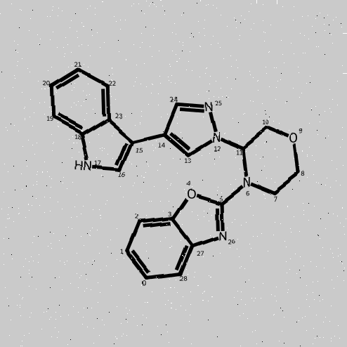 c1ccc2oc(N3CCOCC3n3cc(-c4c[nH]c5ccccc45)cn3)nc2c1